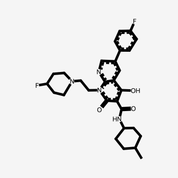 CC1CCC(NC(=O)c2c(O)c3cc(-c4ccc(F)cc4)cnc3n(CCN3CCC(F)CC3)c2=O)CC1